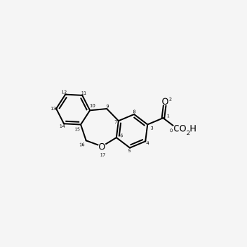 O=C(O)C(=O)c1ccc2c(c1)Cc1ccccc1CO2